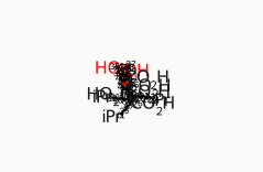 CC(C)CCCCCc1c(CCCCCC(C)C)c(C(=O)O)c(C(=O)O)c(CCCCCC(C)C)c1C(=O)O.CC(O)COC(C)CO.O=C(O)c1ccccc1.O=C(O)c1ccccc1